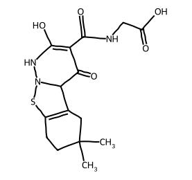 CC1(C)CCC2=C(C1)C1C(=O)C(C(=O)NCC(=O)O)=C(O)NN1S2